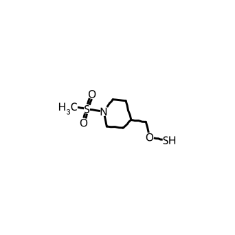 CS(=O)(=O)N1CCC(COS)CC1